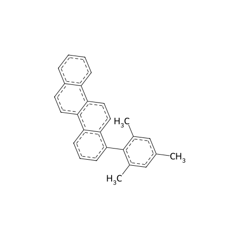 Cc1cc(C)c(-c2cccc3c2ccc2c4ccccc4ccc32)c(C)c1